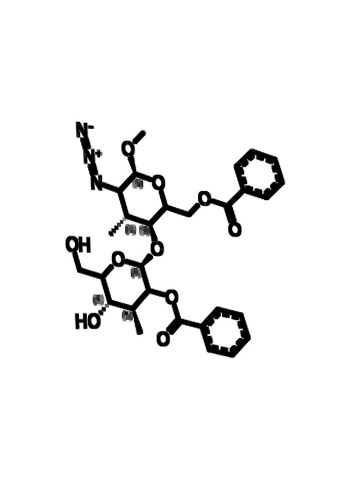 CO[C@H]1OC(COC(=O)c2ccccc2)[C@@H](O[C@@H]2OC(CO)[C@@H](O)[C@H](C)C2OC(=O)c2ccccc2)[C@H](C)C1N=[N+]=[N-]